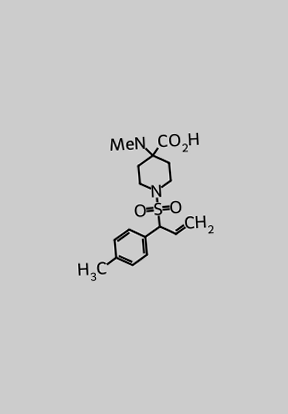 C=CC(c1ccc(C)cc1)S(=O)(=O)N1CCC(NC)(C(=O)O)CC1